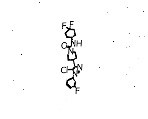 O=C(NC1CCC(F)(F)CC1)N1CCC(c2ncn(-c3cccc(F)c3)c2Cl)CC1